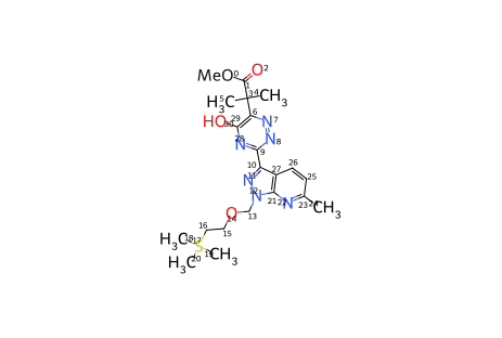 COC(=O)C(C)(C)c1nnc(-c2nn(COCCS(C)(C)C)c3nc(C)ccc23)nc1O